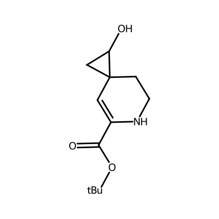 CC(C)(C)OC(=O)C1=CC2(CCN1)CC2O